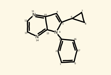 c1ccc(-n2c(C3CC3)cc3nccnc32)cc1